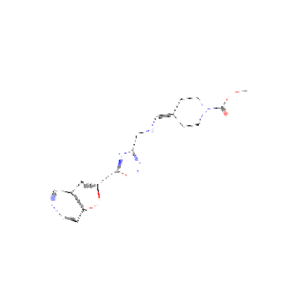 CC(C)(C)OC(=O)N1CCC(=CNCc2noc(-c3cc4cnccc4o3)n2)CC1